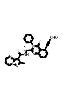 Cc1nn2cccnc2c1C(=O)N[C@H](C)c1nc2cccc(C#CC=O)c2c(=O)n1-c1ccccc1